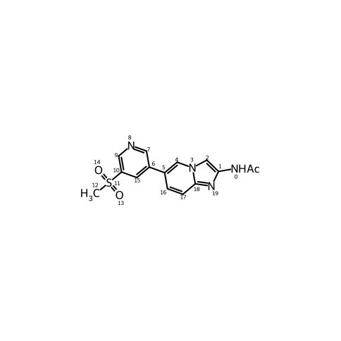 CC(=O)Nc1cn2cc(-c3cncc(S(C)(=O)=O)c3)ccc2n1